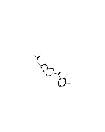 CNC(=O)Nc1cc2n(n1)CCN(C(=O)c1cccc(O)c1)C2